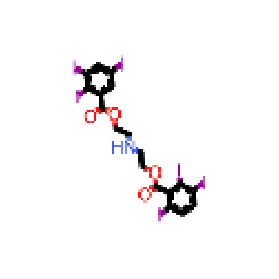 O=C(OCCNCCOC(=O)c1c(I)ccc(I)c1I)c1cc(I)cc(I)c1I